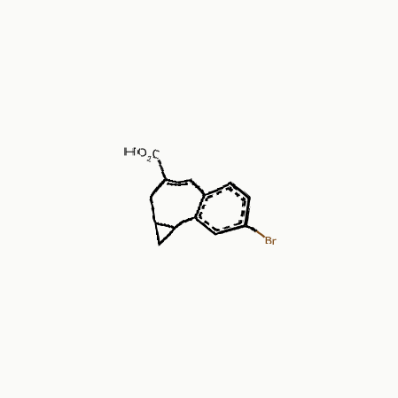 O=C(O)C1=Cc2ccc(Br)cc2C2CC2C1